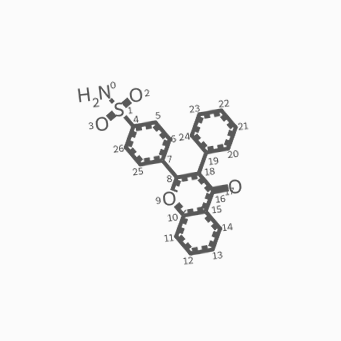 NS(=O)(=O)c1ccc(-c2oc3ccccc3c(=O)c2-c2ccccc2)cc1